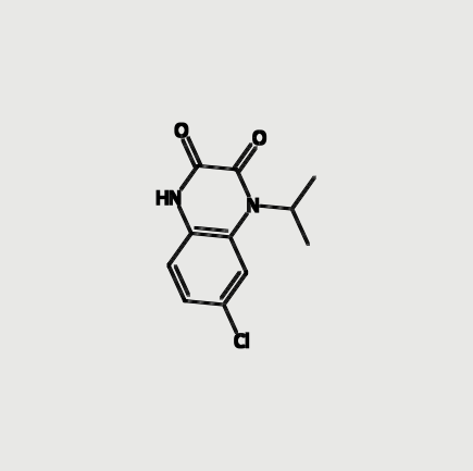 CC(C)n1c(=O)c(=O)[nH]c2ccc(Cl)cc21